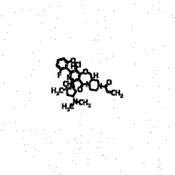 C=CC(=O)N1CCN2C(=O)c3c(N4C[C@H](N(C)C)CC4(C)C)nc(-c4c(O)cccc4F)c(Cl)c3OC[C@H]2C1